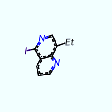 CCc1cnc(I)c2cccnc12